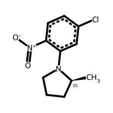 C[C@H]1CCCN1c1cc(Cl)ccc1[N+](=O)[O-]